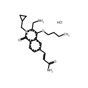 CCCCOc1c(CN)n(CC2CC2)c(=O)c2ccc(C=CC(N)=O)cc12.Cl